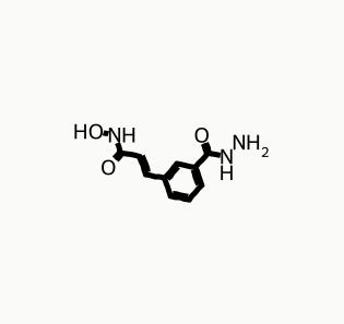 NNC(=O)c1cccc(/C=C/C(=O)NO)c1